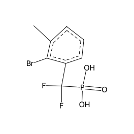 Cc1cccc(C(F)(F)P(=O)(O)O)c1Br